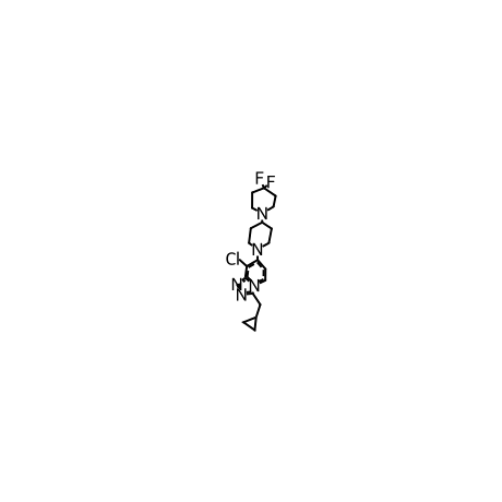 FC1(F)CCN(C2CCN(c3ccn4c(CC5CC5)nnc4c3Cl)CC2)CC1